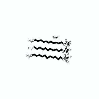 CCCCCCCCCCCCOS(=O)(=O)[O-].CCCCCCCCCCCCOS(=O)(=O)[O-].CCCCCCCCCCCCOS(=O)(=O)[O-].[Tm+3]